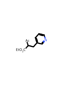 CCOC(=O)C(Cc1cccnc1)C(C)=O